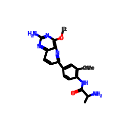 CCOc1nc(N)nc2ccc(-c3ccc(NC(=O)C(C)N)c(OC)c3)nc12